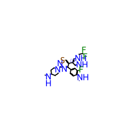 CNc1ccc(C2=NC(N3CCC(NC)CC3)=NSC=C2/C(C=N)=C/NCC(F)F)cc1F